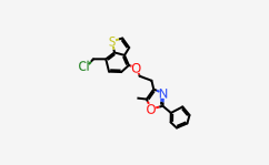 Cc1oc(-c2ccccc2)nc1CCOc1ccc(CCl)c2sccc12